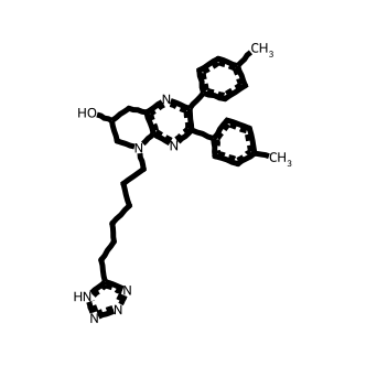 Cc1ccc(-c2nc3c(nc2-c2ccc(C)cc2)N(CCCCCCc2nnn[nH]2)CC(O)C3)cc1